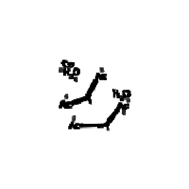 CC(=O)CC(C)=O.CC(=O)CC(C)=O.O.O.[Co]